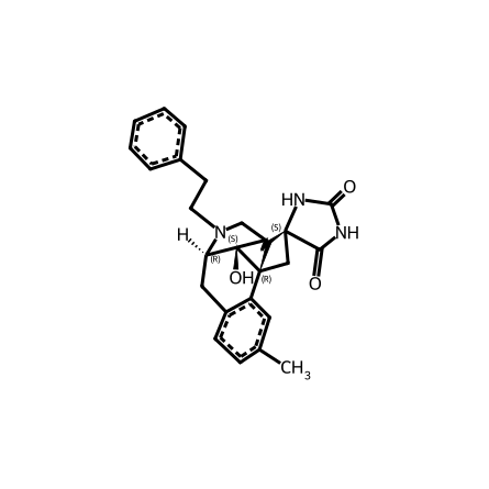 Cc1ccc2c(c1)[C@]13CCN(CCc4ccccc4)[C@H](C2)[C@]1(O)CC[C@@]1(C3)NC(=O)NC1=O